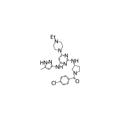 CCN1CCN(c2cc(Nc3cc(C)[nH]n3)nc(N[C@H]3CCN(C(=O)c4ccc(Cl)cc4)C3)n2)CC1